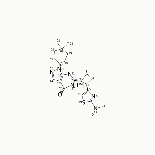 CN(C)c1nc([C@@H]2CC[C@@H]2c2nc3c(cnn3C3CCC(C)(F)CC3)c(=O)[nH]2)cs1